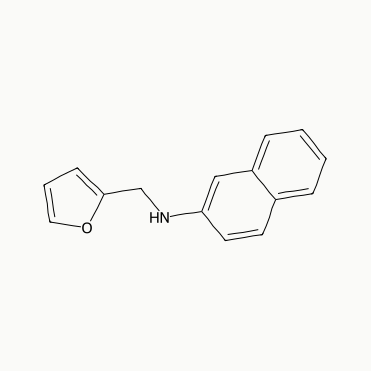 c1coc(CNc2ccc3ccccc3c2)c1